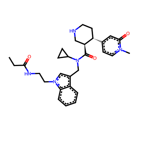 CCC(=O)NCCn1cc(CN(C(=O)[C@H]2CNCC[C@@H]2c2ccn(C)c(=O)c2)C2CC2)c2ccccc21